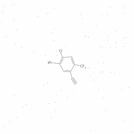 C#Cc1cc(C(C)C)c(Cl)cc1C(F)(F)F